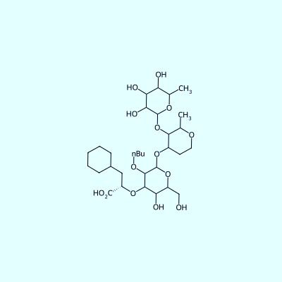 CCCCOC1C(OC2CCOC(C)C2OC2OC(C)C(O)C(O)C2O)OC(CO)C(O)C1O[C@@H](CC1CCCCC1)C(=O)O